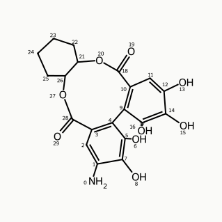 Nc1cc2c(c(O)c1O)-c1c(cc(O)c(O)c1O)C(=O)OC1CCCCC1OC2=O